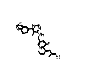 C\C=C/C(=C\C(C)=C\CC)c1ncc(CNc2ncnc(-c3ccc4ncsc4c3)c2C)cc1F